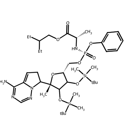 CCC(CC)COC(=O)[C@H](C)N[P@](=O)(OC[C@H]1O[C@@](C)(C2CC=C3C(N)=NC=NN32)C(O[Si](C)(C)C(C)(C)C)C1O[Si](C)(C)C(C)(C)C)Oc1ccccc1